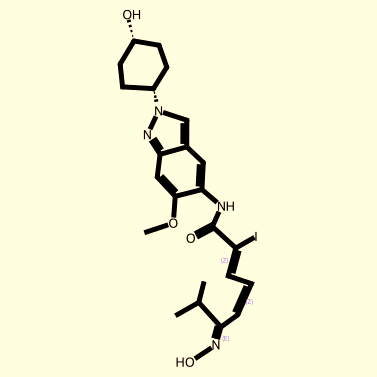 COc1cc2nn([C@H]3CC[C@@H](O)CC3)cc2cc1NC(=O)/C(I)=C/C=C\C(=N\O)C(C)C